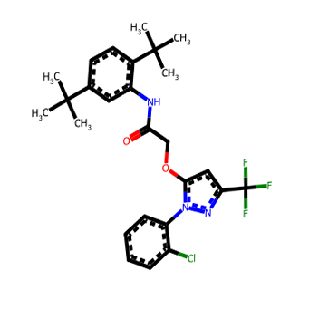 CC(C)(C)c1ccc(C(C)(C)C)c(NC(=O)COc2cc(C(F)(F)F)nn2-c2ccccc2Cl)c1